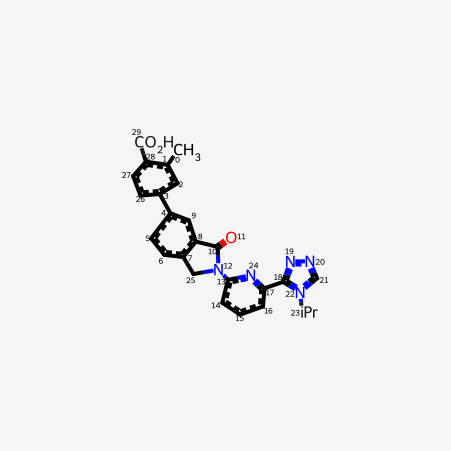 Cc1cc(-c2ccc3c(c2)C(=O)N(c2cccc(-c4nncn4C(C)C)n2)C3)ccc1C(=O)O